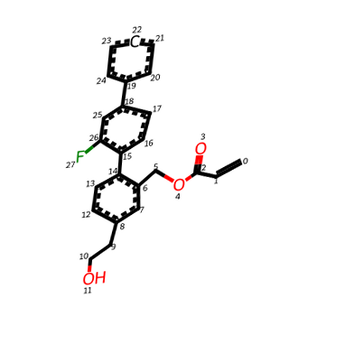 C=CC(=O)OCc1cc(CCO)ccc1-c1ccc(-c2ccccc2)cc1F